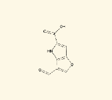 O=Cc1coc2cc(C(=O)O)[nH]c12